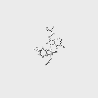 C#CCn1c(=O)n([C@@H]2O[C@H](COC(C)=O)[C@H](F)[C@H]2OC(C)=O)c2nc(N)ncc21